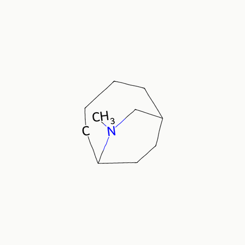 CN1CC2CCCCC1CC2